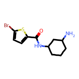 NC1CCCC(NC(=O)c2ccc(Br)s2)C1